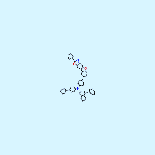 c1ccc(-c2ccc(N(c3ccc(-c4ccc5oc6cc7nc(-c8ccccc8)oc7cc6c5c4)cc3)c3cc(-c4ccccc4)c4ccccc4c3)cc2)cc1